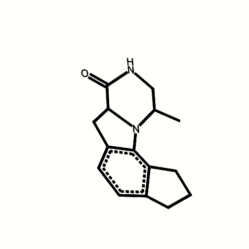 CC1CNC(=O)C2Cc3ccc4c(c3N12)CCC4